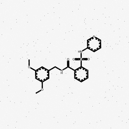 COc1cc(CNC(=O)c2ccccc2S(=O)(=O)Nc2cccnc2)cc(OC)c1